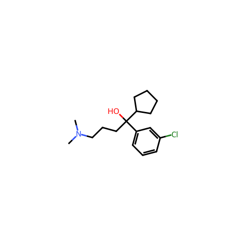 CN(C)CCCC(O)(c1cccc(Cl)c1)C1CCCC1